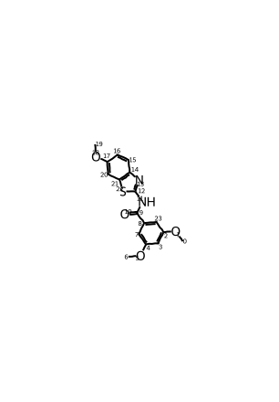 COc1cc(OC)cc(C(=O)Nc2nc3ccc(OC)cc3s2)c1